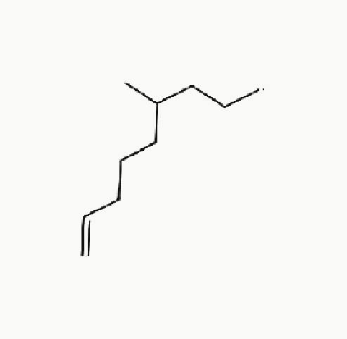 [CH2]CCC(C)CCCC=C